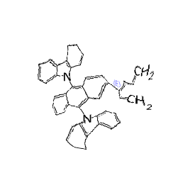 C=C/C=C(\C=C)c1ccc2c(-n3c4c(c5ccccc53)CCC=C4)c3ccccc3c(-n3c4c(c5ccccc53)CCC=C4)c2c1